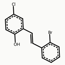 Oc1ccc(Cl)cc1C=Cc1ccccc1Br